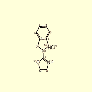 Cl.c1ccc2c(c1)CN(C1=NCCO1)C2